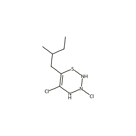 CCC(C)Cc1s[nH]n(Cl)[nH]c1Cl